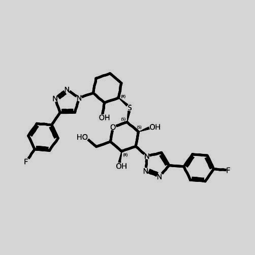 OCC1O[C@@H](S[C@@H]2CCCC(n3cc(-c4ccc(F)cc4)nn3)C2O)[C@@H](O)C(n2cc(-c3ccc(F)cc3)nn2)[C@H]1O